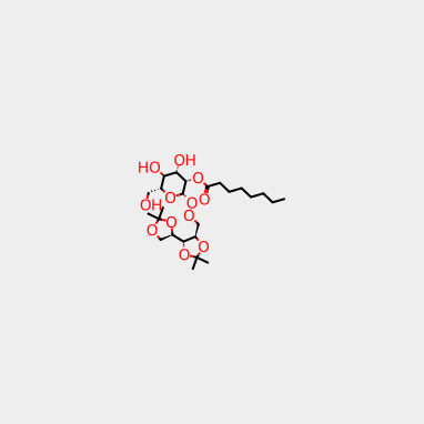 CCCCCCCC(=O)O[C@@H]1[C@H](OOC[C@H]2OC(C)(C)O[C@@H]2[C@H]2COC(C)(C)O2)O[C@H](CO)[C@@H](O)[C@@H]1O